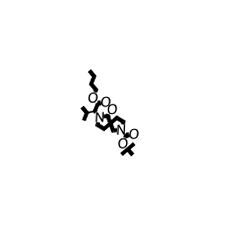 CCCCOC(=O)[C@H](C(C)C)N1CCC2(CCN(C(=O)OC(C)(C)C)C2)C1=O